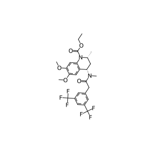 CCOC(=O)N1c2cc(OC)c(OC)cc2[C@@H](N(C)C(=O)Cc2cc(C(F)(F)F)cc(C(F)(F)F)c2)C[C@H]1C